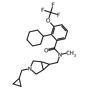 CN(CC1C2CN(CC3CC3)CC21)C(=O)c1cccc(OC(F)(F)F)c1C1CCCCC1